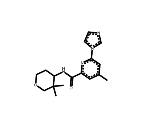 Cc1cc(C(=O)NC2CCOCC2(C)C)nc(-n2ccnc2)c1